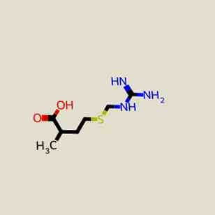 CC(CCSCNC(=N)N)C(=O)O